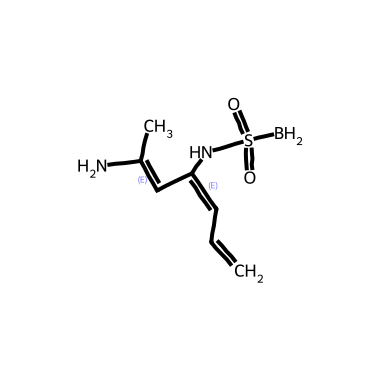 BS(=O)(=O)NC(/C=C(\C)N)=C/C=C